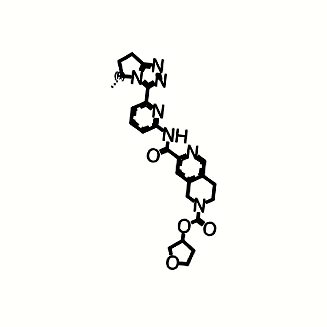 C[C@@H]1CCc2nnc(-c3cccc(NC(=O)c4cc5c(cn4)CCN(C(=O)OC4CCOC4)C5)n3)n21